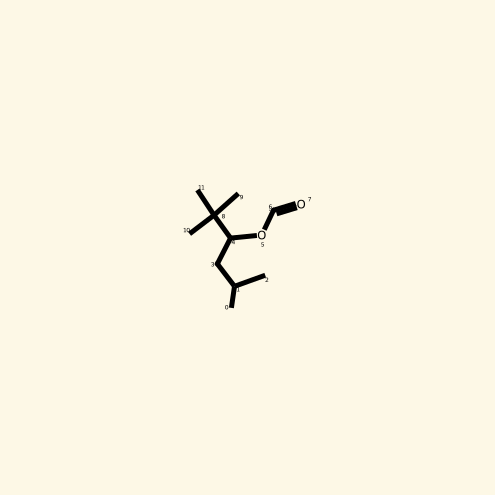 CC(C)CC(O[C]=O)C(C)(C)C